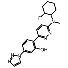 CN(c1ccc(-c2ccc(-n3ccnn3)cc2O)nn1)[C@@H]1CCCC[C@@H]1F